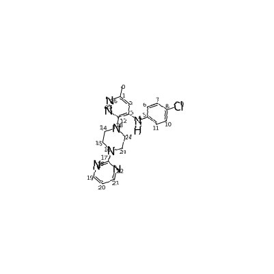 Cc1cc(Nc2ccc(Cl)cc2)c(N2CCN(c3ncccn3)CC2)nn1